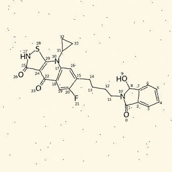 O=C1c2ccccc2C(O)N1CCCCc1cc2c(cc1F)c(=O)c1c(=O)[nH]sc1n2C1CC1